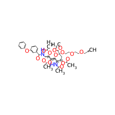 C#CCOCCOCCOC1(C(=O)OC)C[C@H](OC(C)=O)[C@@H](NC(C)=O)[C@H]([C@H](OC(C)=O)[C@@H](CNC(=O)c2cccc(Oc3ccccc3)c2)OC(C)=O)O1